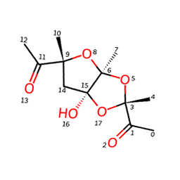 CC(=O)[C@@]1(C)O[C@]2(C)O[C@@](C)(C(C)=O)C[C@]2(O)O1